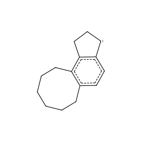 [C]1CCc2c1ccc1c2CCCCCC1